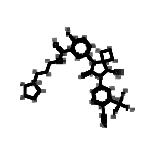 N#Cc1ncc(N2C(=S)N(c3ccc(F)c(C(=O)NCCCN4CCCC4)c3)C3(CCC3)C2O)cc1C(F)(F)F